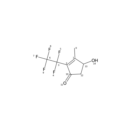 CC1=C(C(F)(F)C(F)(F)F)C(=O)CC1O